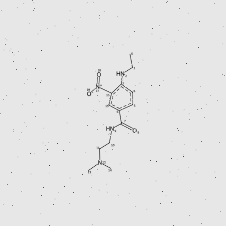 CCNc1ccc(C(=O)NCCN(C)C)cc1[N+](=O)[O-]